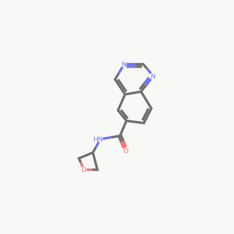 O=C(NC1COC1)c1ccc2ncncc2c1